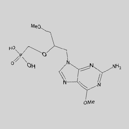 COCC(Cn1cnc2c(OC)nc(N)nc21)OCP(=O)(O)O